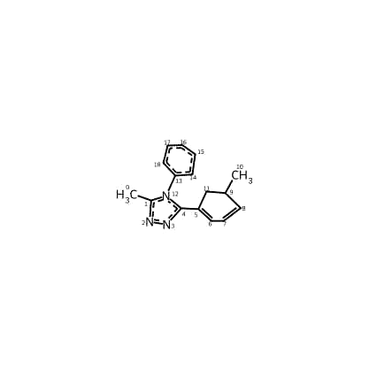 Cc1nnc(C2=CC=CC(C)C2)n1-c1ccccc1